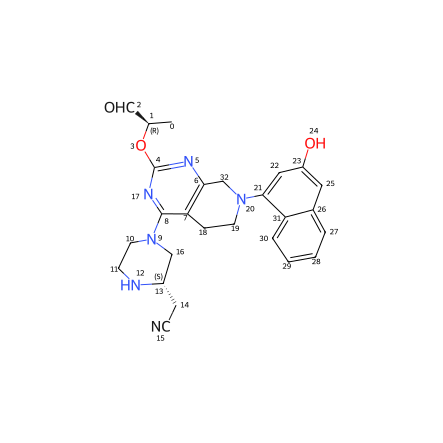 C[C@H](C=O)Oc1nc2c(c(N3CCN[C@@H](CC#N)C3)n1)CCN(c1cc(O)cc3ccccc13)C2